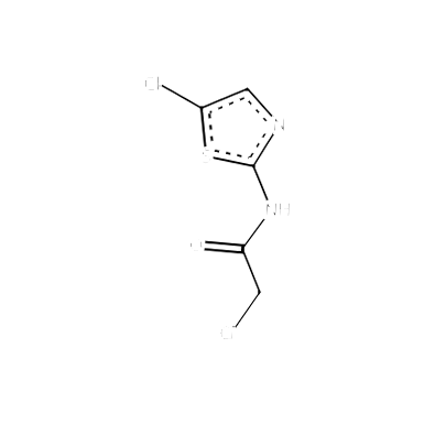 O=C(CCl)Nc1n[c]c(Cl)s1